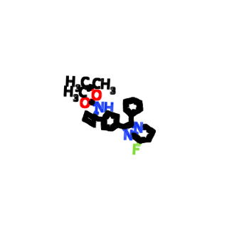 CC(C)(C)OC(=O)NC1(c2ccc(-c3nc4c(F)cccn4c3-c3ccccc3)cc2)CCC1